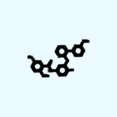 CNc1nccc(-c2cccnc2Oc2cc(NC(=O)c3cc(C(C)(C)C)ccc3OC)ccc2C)n1